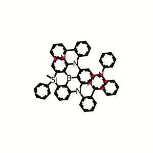 C[Si]1(c2ccccc2)c2cccc3c2B2c4c(cc(N(c5ccccc5)c5ccccc5)cc4N(c4ccccc4-c4ccccn4)c4cccc1c42)N3c1ccccc1-c1ccccn1